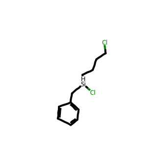 ClCCCC[SiH](Cl)Cc1ccccc1